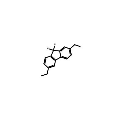 CCc1ccc2c(c1)-c1ccc(CC)cc1C2(F)F